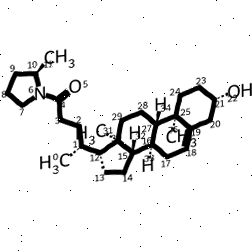 C[C@H](CCC(=O)N1CCC[C@H]1C)[C@H]1CC[C@H]2[C@@H]3CC=C4C[C@@H](O)CC[C@]4(C)[C@H]3CC[C@]12C